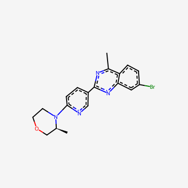 Cc1nc(-c2ccc(N3CCOC[C@@H]3C)nc2)nc2cc(Br)ccc12